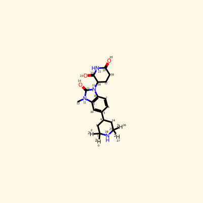 [2H]C1([2H])CC(c2ccc3c(c2)n(C)c(=O)n3C2CCC(=O)NC2=O)CC([2H])([2H])N1